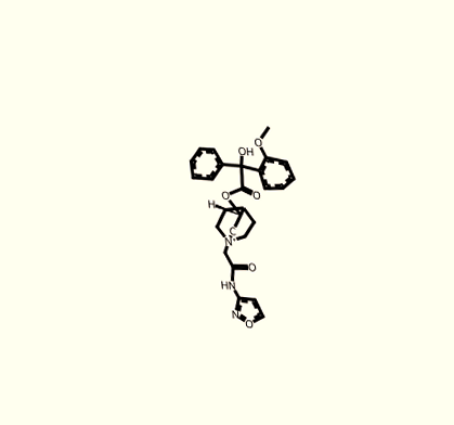 COc1ccccc1C(O)(C(=O)O[C@H]1C[N+]2(CC(=O)Nc3ccon3)CCC1CC2)c1ccccc1